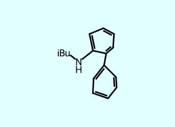 CCC(C)Nc1ccccc1-c1ccccc1